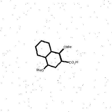 COC1CC(C(=O)O)C(OC)C2CCCCC12